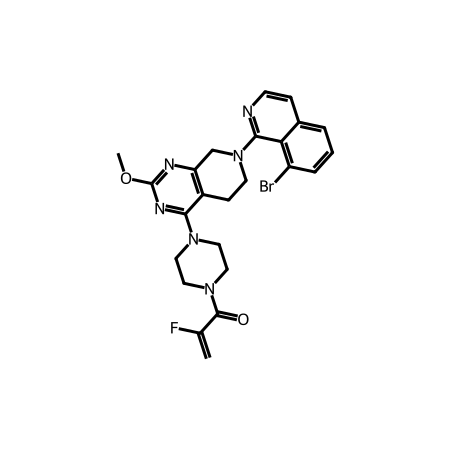 C=C(F)C(=O)N1CCN(c2nc(OC)nc3c2CCN(c2nccc4cccc(Br)c24)C3)CC1